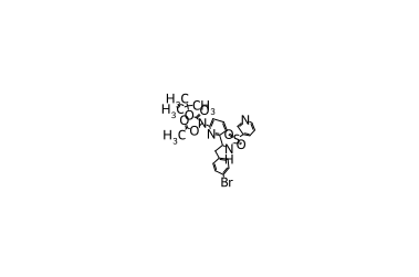 CC(=O)ON(C(=O)OC(C)(C)C)c1cccc(C(Cc2ccc(Br)cc2)NS(=O)(=O)c2cccnc2)n1